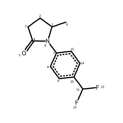 CC1CCC(=O)N1c1ccc(C(F)F)cc1